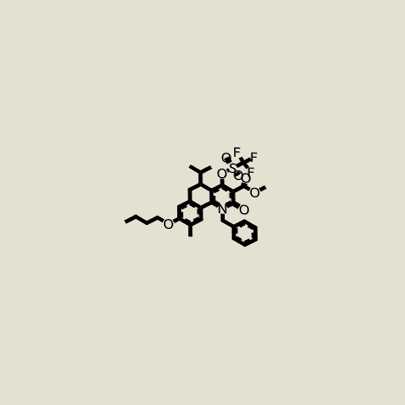 CCCCOc1cc2c(cc1C)-c1c(c(OS(=O)(=O)C(F)(F)F)c(C(=O)OC)c(=O)n1Cc1ccccc1)C(C(C)C)C2